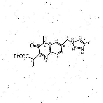 CCOC(=O)C(C)c1nc2ccc(Cn3ccnc3)cc2[nH]c1=O